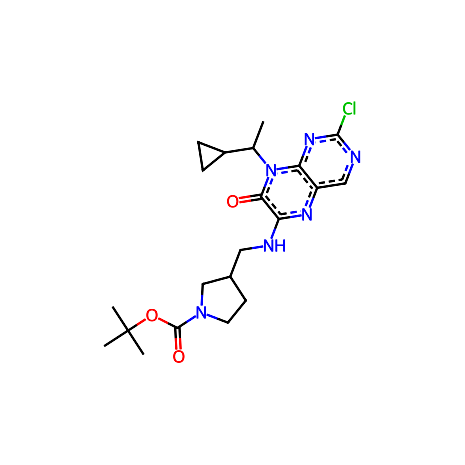 CC(C1CC1)n1c(=O)c(NCC2CCN(C(=O)OC(C)(C)C)C2)nc2cnc(Cl)nc21